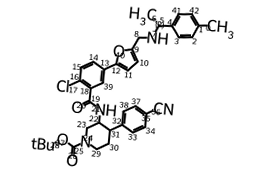 Cc1ccc([C@@H](C)NCc2ccc(-c3ccc(Cl)c(C(=O)NC4CN(C(=O)OC(C)(C)C)CCC4c4ccc(C#N)cc4)c3)o2)cc1